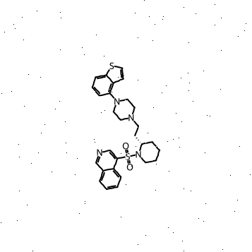 O=S(=O)(c1cncc2ccccc12)N1CCCC[C@H]1CCN1CCN(c2cccc3sccc23)CC1